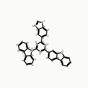 c1ccc2c(c1)oc1cc(-c3nc(-c4ccc5scnc5c4)nc(-n4c5ccccc5c5ccccc54)n3)ccc12